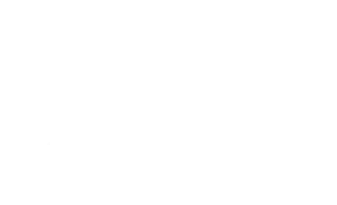 C=CC(=O)c1ccc(C#Cc2ccc3c(c2)Cc2cc(C(C)O)ccc2-3)cc1